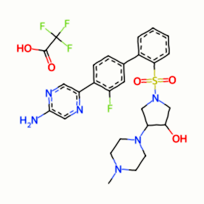 CN1CCN(C2CN(S(=O)(=O)c3ccccc3-c3ccc(-c4cnc(N)cn4)c(F)c3)CC2O)CC1.O=C(O)C(F)(F)F